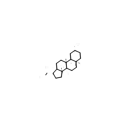 CO[C@@H]1CC[C@@H]2CC[C@@H]3[C@H](CC[C@]4(C)[C@@H](CO)CC[C@@H]34)[C@@]2(C)C1